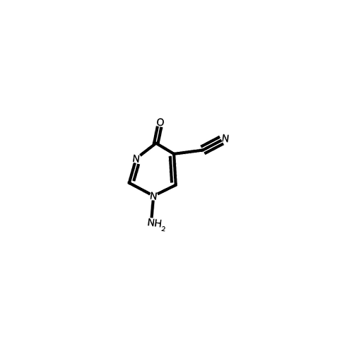 N#Cc1cn(N)cnc1=O